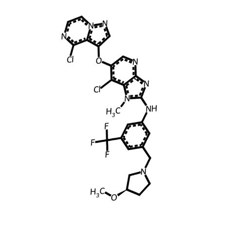 CO[C@@H]1CCN(Cc2cc(Nc3nc4ncc(Oc5cnn6ccnc(Cl)c56)c(Cl)c4n3C)cc(C(F)(F)F)c2)C1